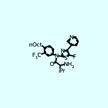 CCCCCCCCc1ccc(N(C(=O)C(N)C(C)C)c2nc(-c3cccnc3)c(F)s2)cc1C(F)(F)F